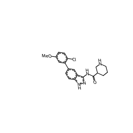 COc1ccc(Cl)c(-c2ccc3[nH]nc(NC(=O)C4CCCNC4)c3c2)c1